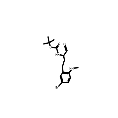 CNc1ccc(Br)cc1CCC(C=O)NC(=O)OC(C)(C)C